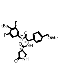 COCc1ccc([C@@H](NC(=O)[C@H]2CNC(=O)C2)C(=O)Nc2cc(F)c(C(C)(C)C)c(F)c2)cc1